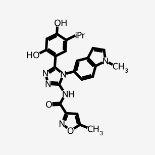 Cc1cc(C(=O)Nc2nnc(-c3cc(C(C)C)c(O)cc3O)n2-c2ccc3c(ccn3C)c2)no1